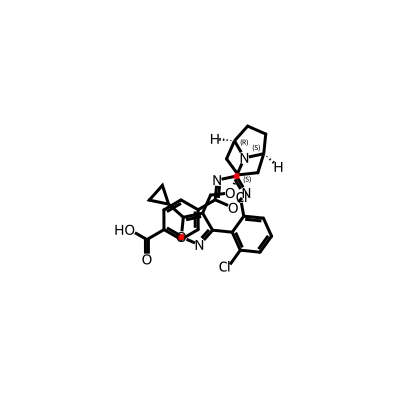 O=C(O)c1ccc(-c2nc(N3[C@@H]4CC[C@H]3C[C@H](OCc3c(-c5c(Cl)cccc5Cl)noc3C3CC3)C4)no2)cc1